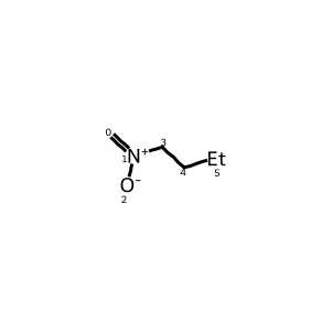 C=[N+]([O-])CCCC